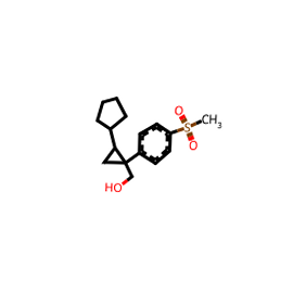 CS(=O)(=O)c1ccc(C2(CO)CC2C2CCCC2)cc1